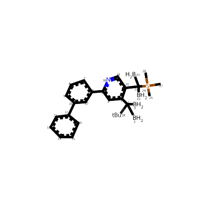 BC(B)(c1cc(-c2cccc(-c3ccccc3)c2)ncc1C(B)(B)S(C)(C)C)C(C)(C)C